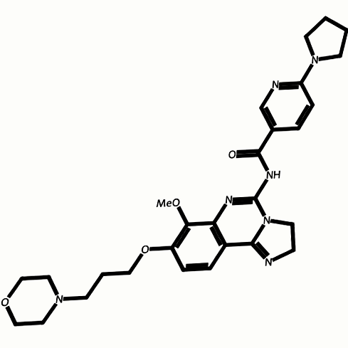 COc1c(OCCCN2CCOCC2)ccc2c1N=C(NC(=O)c1ccc(N3CCCC3)nc1)N1CCN=C21